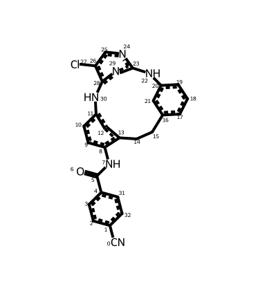 N#Cc1ccc(C(=O)Nc2ccc3cc2CCc2cccc(c2)Nc2ncc(Cl)c(n2)N3)cc1